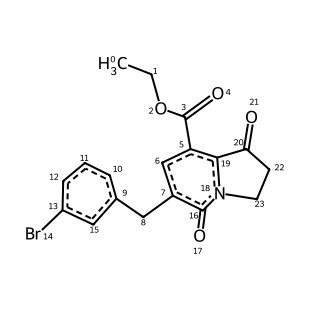 CCOC(=O)c1cc(Cc2cccc(Br)c2)c(=O)n2c1C(=O)CC2